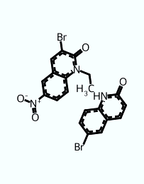 CCn1c(=O)c(Br)cc2cc([N+](=O)[O-])ccc21.O=c1ccc2cc(Br)ccc2[nH]1